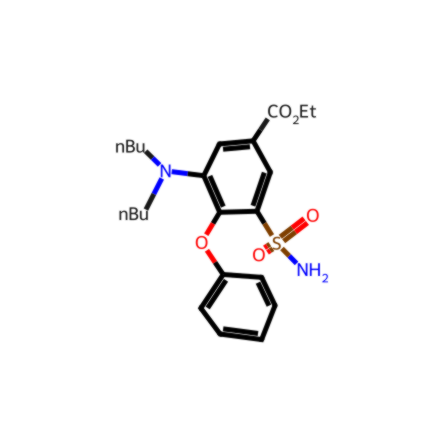 CCCCN(CCCC)c1cc(C(=O)OCC)cc(S(N)(=O)=O)c1Oc1ccccc1